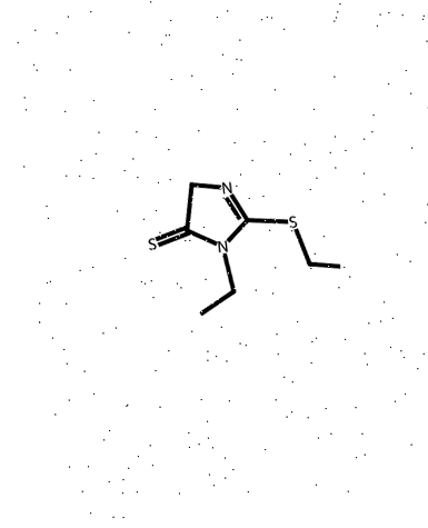 CCSC1=NCC(=S)N1CC